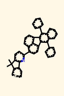 CC1(C)c2ccccc2-c2nc(-c3ccc4c5c(cccc35)-c3c-4c(-c4ccccc4)c4ccccc4c3-c3ccccc3)ccc21